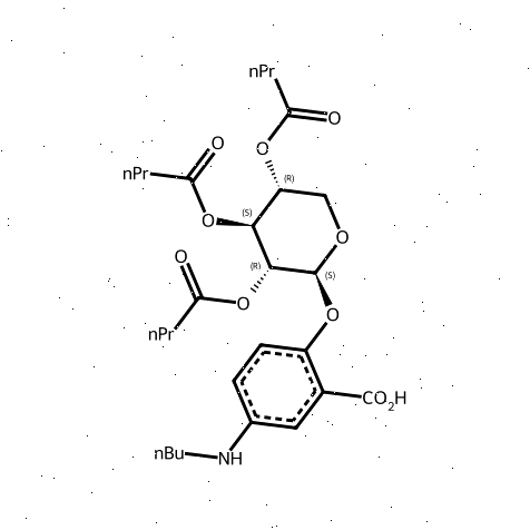 CCCCNc1ccc(O[C@@H]2OC[C@@H](OC(=O)CCC)[C@H](OC(=O)CCC)[C@H]2OC(=O)CCC)c(C(=O)O)c1